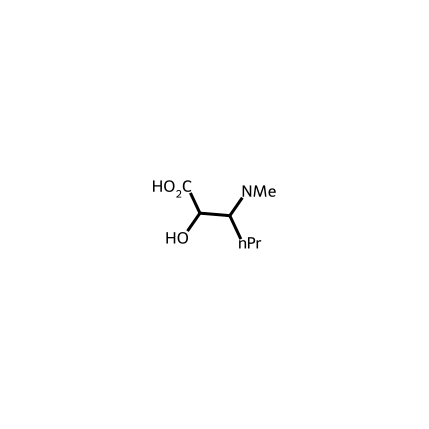 CCCC(NC)C(O)C(=O)O